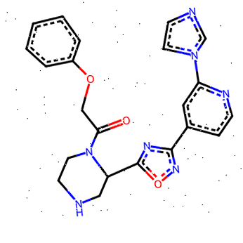 O=C(COc1ccccc1)N1CCNCC1c1nc(-c2ccnc(-n3ccnc3)c2)no1